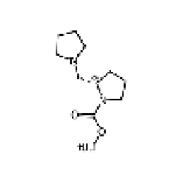 CC(C)(C)OC(=O)N1CCC[C@H]1CN1CCCC1